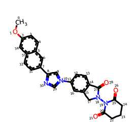 COc1ccc2cc(-c3cn(-c4ccc5c(c4)CN(N4C(=O)CCCC4=O)C5=O)cn3)ccc2c1